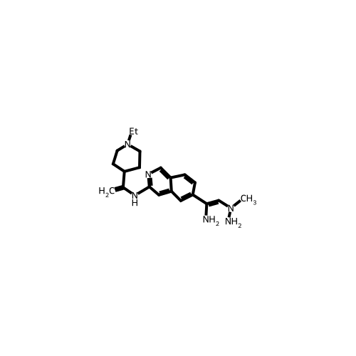 C=C(Nc1cc2cc(/C(N)=C/N(C)N)ccc2cn1)C1CCN(CC)CC1